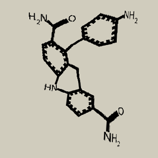 NC(=O)c1ccc2c(c1)Cc1c(ccc(C(N)=O)c1-c1ccc(N)cc1)N2